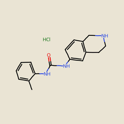 Cc1ccccc1NC(=O)Nc1ccc2c(c1)CCNC2.Cl